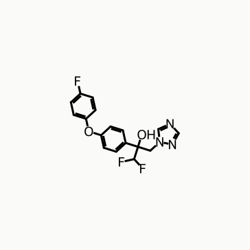 OC(Cn1cncn1)(c1ccc(Oc2ccc(F)cc2)cc1)C(F)F